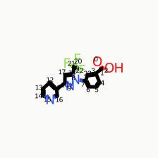 O=C(O)c1cccc(-n2nc(-c3cccnc3)cc2C(F)(F)F)c1